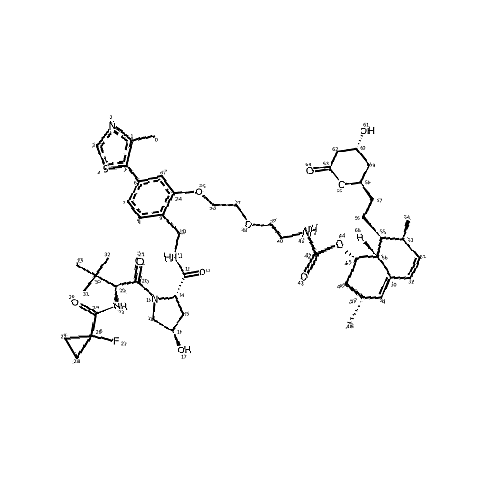 Cc1ncsc1-c1ccc(CNC(=O)[C@@H]2C[C@@H](O)CN2C(=O)[C@@H](NC(=O)C2(F)CC2)C(C)(C)C)c(OCCOCCNC(=O)O[C@H]2C[C@@H](C)C=C3C=C[C@H](C)[C@H](CC[C@@H]4C[C@@H](O)CC(=O)O4)[C@H]32)c1